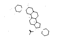 CC(=O)O[C@@H]1[C@@H](N2CCCCC2)C[C@H]2[C@@H]3CC[C@H]4C[C@H](O)[C@@H](N5CCCCC5)C[C@]4(C)[C@H]3CC[C@]12C